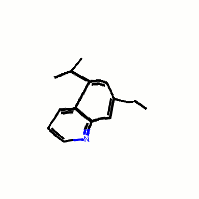 CCc1cc(C(C)C)c2cccnc2c1